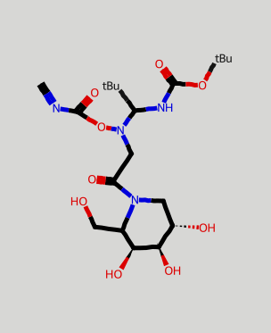 C=NC(=O)ON(CC(=O)N1C[C@H](O)[C@@H](O)[C@@H](O)C1CO)C(NC(=O)OC(C)(C)C)C(C)(C)C